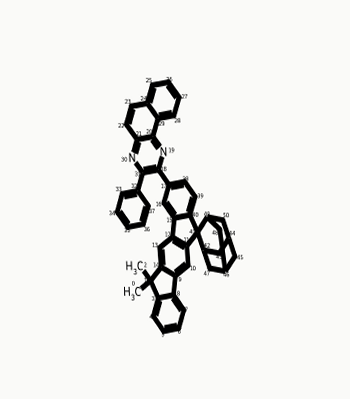 CC1(C)c2ccccc2-c2cc3c(cc21)-c1cc(-c2nc4c(ccc5ccccc54)nc2-c2ccccc2)ccc1C31C2CC3CC(C2)CC1C3